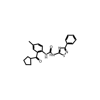 Cc1ccc(NC(=O)Nc2nc(-c3ccccc3)ns2)c(C(=O)C2CCCC2)c1